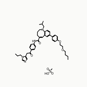 CCCCOCCOc1ccc(-c2ccc3c(c2)/C=C(/C(=O)Nc2ccc(C(=O)Cc4cncn4CCC)cc2)CCCN3CC(C)C)cc1.CS(=O)(=O)O